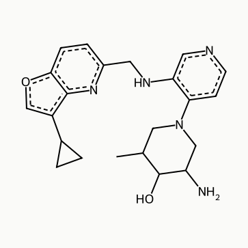 CC1CN(c2ccncc2NCc2ccc3occ(C4CC4)c3n2)CC(N)C1O